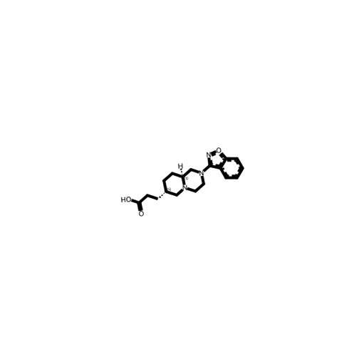 O=C(O)CC[C@@H]1CC[C@H]2CN(c3noc4ccccc34)CCN2C1